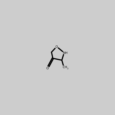 CC1NOCC1=O